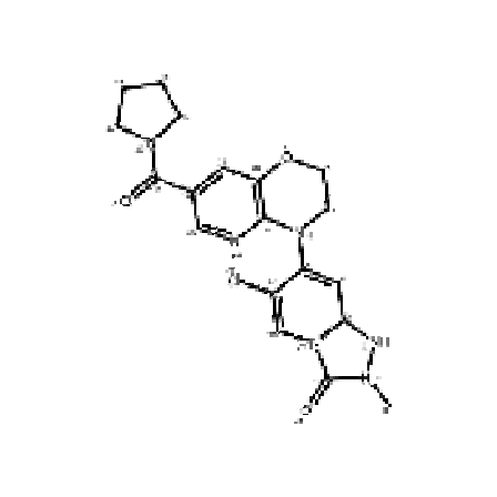 CN1NC2C=C(N3CCOc4cc(C(=O)N5CCCC5)cnc43)C(Cl)=CN2C1=O